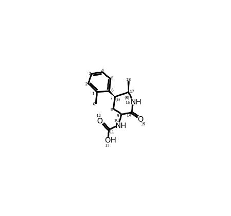 Cc1ccccc1[C@@H]1CC(NC(=O)O)C(=O)N[C@@H]1C